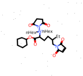 [CH2]CCCCC[N+](CCCCC[CH2])(C(CCC(C[CH2])CN1C(=O)C=CC1=O)C(=O)OC1CCCCC1)N1C(=O)CCC1=O